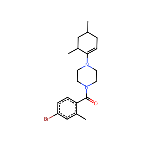 Cc1cc(Br)ccc1C(=O)N1CCN(C2=CCC(C)CC2C)CC1